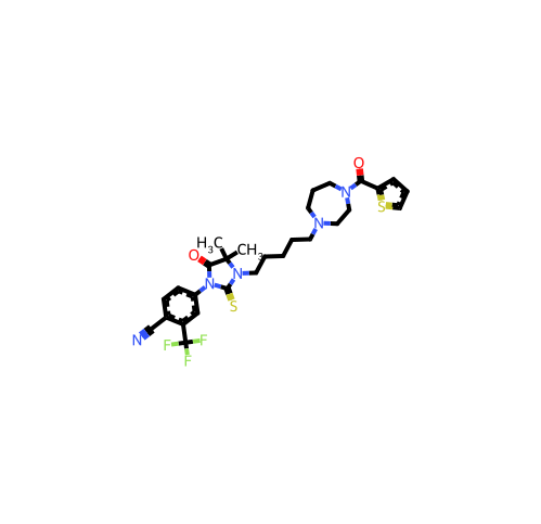 CC1(C)C(=O)N(c2ccc(C#N)c(C(F)(F)F)c2)C(=S)N1CCCCCN1CCCN(C(=O)c2cccs2)CC1